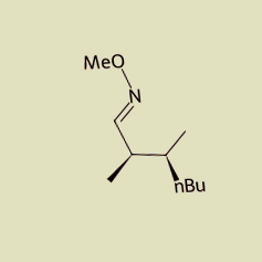 CCCC[C@H](C)[C@@H](C)/C=N/OC